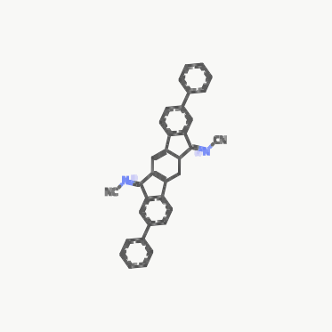 N#C/N=C1\c2cc(-c3ccccc3)ccc2C2=CC3=C(CC21)c1ccc(-c2ccccc2)cc1/C3=N\C#N